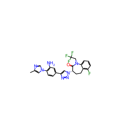 Cc1cn(-c2ccc(-c3cn([C@H]4CCc5c(F)cccc5N(CC(F)(F)F)C4=O)nn3)cc2N)cn1